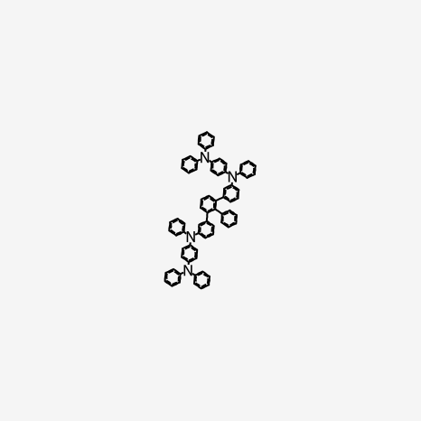 c1ccc(-c2c(-c3cccc(N(c4ccccc4)c4ccc(N(c5ccccc5)c5ccccc5)cc4)c3)cccc2-c2cccc(N(c3ccccc3)c3ccc(N(c4ccccc4)c4ccccc4)cc3)c2)cc1